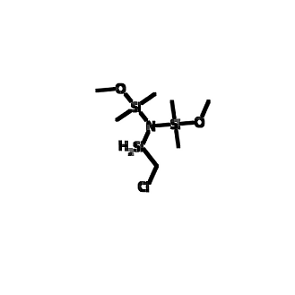 CO[Si](C)(C)N([SiH2]CCl)[Si](C)(C)OC